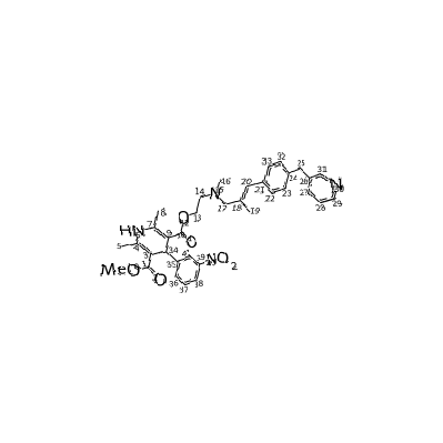 COC(=O)C1=C(C)NC(C)=C(C(=O)OCCN(C)CC(C)=Cc2ccc(Cc3cccnc3)cc2)C1c1cccc([N+](=O)[O-])c1